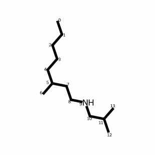 CCCCCC(C)CCNCC(C)C